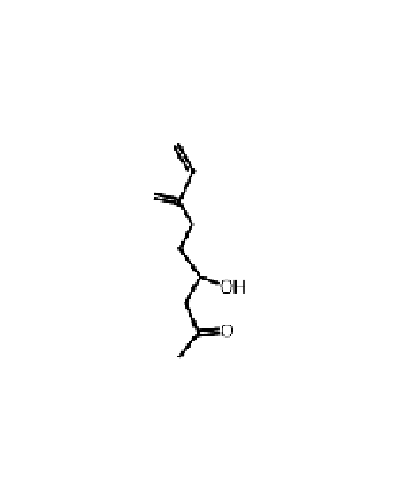 C=CC(=C)CCC(O)CC(C)=O